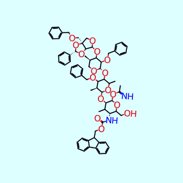 CC(=N)O[C@H]1OC(CO)[C@H](NC(=O)OCC2c3ccccc3-c3ccccc32)C(C)[C@H]1O[C@@H]1OC(C)[C@H](O[C@@H]2OC[C@@H](C)C(O[C@@H]3OC[C@]4(COCc5ccccc5)O[C@@H](c5ccccc5)OC34)[C@H]2OCc2ccccc2)C(OCc2ccccc2)[C@@H]1C